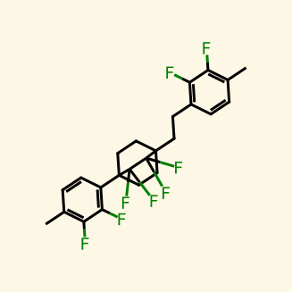 Cc1ccc(CCC23CCC(c4ccc(C)c(F)c4F)(CC2)C(F)(F)C3(F)F)c(F)c1F